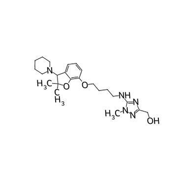 Cn1nc(CO)nc1NCCCCOc1cccc2c1OC(C)(C)C2N1CCCCC1